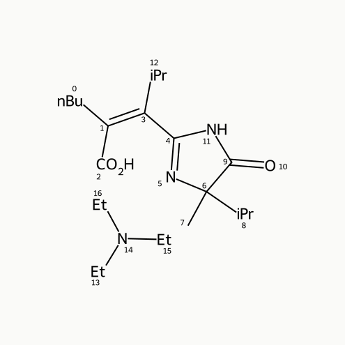 CCCCC(C(=O)O)=C(C1=NC(C)(C(C)C)C(=O)N1)C(C)C.CCN(CC)CC